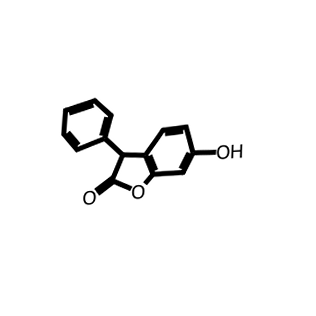 O=C1Oc2cc(O)ccc2C1c1ccccc1